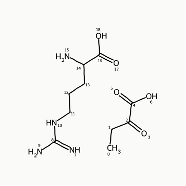 CCC(=O)C(=O)O.N=C(N)NCCCC(N)C(=O)O